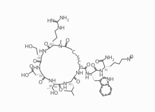 CC(C)C[C@@H]1NC(=O)[C@H]([C@@H](C)O)NC(=O)[C@H](CC(=O)O)NC(=O)[C@H](CCO)NC(=O)[C@H](CCCNC(=N)N)N(C)C(=O)CCSC[C@@H](C(=O)N[C@@H](Cc2c[nH]c3ccccc23)C(=O)N[C@@H](CCCCN=O)C(N)=O)NC1=O